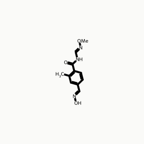 CON=CNC(=O)c1ccc(C=NO)cc1C